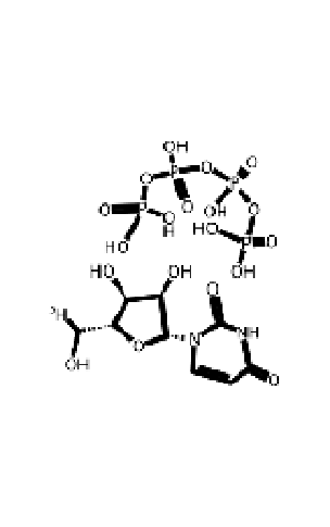 O=P(O)(O)OP(=O)(O)OP(=O)(O)OP(=O)(O)O.[2H]C(O)[C@H]1O[C@@H](n2ccc(=O)[nH]c2=O)[C@H](O)[C@@H]1O